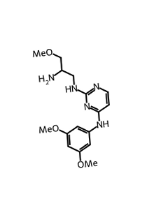 COCC(N)CNc1nccc(Nc2cc(OC)cc(OC)c2)n1